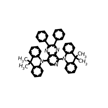 CC1(C)c2ccccc2N(c2cnc(N3c4ccccc4C(C)(C)c4ccccc43)c3nc(-c4ccccc4)c(-c4ccccc4)nc23)c2ccccc21